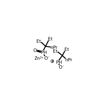 CCCC(CC)(CC)[PH](=O)[O-].CCCC(CC)(CC)[PH](=O)[O-].[Zn+2]